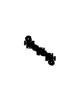 O=C(Nc1ccc(NC(=S)NC2CCCCC2)cc1)c1ccc(NC(=S)NC2CCCCC2)cc1